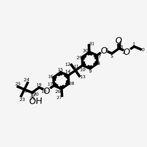 CCOC(=O)COc1ccc(C(C)(C)c2ccc(OC[C@H](O)C(C)(C)C)c(C)c2)cc1C